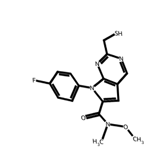 CON(C)C(=O)c1cc2cnc(CS)nc2n1-c1ccc(F)cc1